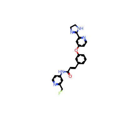 O=C(/C=C/c1cccc(Oc2ccnc(C3=NCCN3)c2)c1)Nc1ccnc(CF)c1